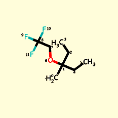 [CH2]C(CC)(CC)OCC(F)(F)F